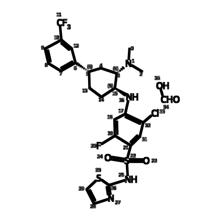 CN(C)[C@H]1C[C@@H](c2cccc(C(F)(F)F)c2)CC[C@@H]1Nc1cc(F)c(S(=O)(=O)Nc2nccs2)cc1Cl.O=CO